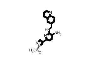 C[S+]([O-])n1cc(-c2ccc(N)c(NCc3ccc4ncccc4c3)n2)cn1